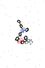 CC1(C)c2ccccc2-c2c1ccc1c2Oc2c(cccc2-c2ccc(-c3nc(-c4ccccc4)nc(-c4ccc5c(c4)sc4ccccc45)n3)cc2)O1